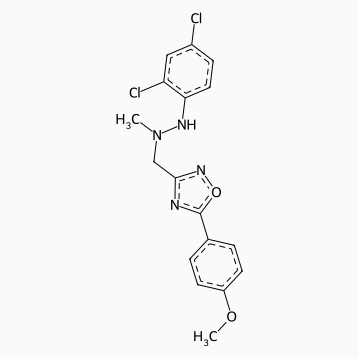 COc1ccc(-c2nc(CN(C)Nc3ccc(Cl)cc3Cl)no2)cc1